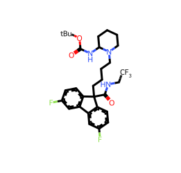 CC(C)(C)OC(=O)NC1CCCCN1CCCCC1(C(=O)NCC(F)(F)F)c2ccc(F)cc2-c2cc(F)ccc21